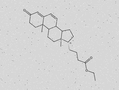 CCOC(=O)CCC[C@H]1CCC2C3C=CC4=CC(=O)CCC4(C)C3CCC21C